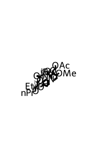 CCCO[C@@H](CC)[C@@H](Oc1ccccc1)[C@H](C)OC(=O)[C@@H](NC(=O)c1nccc(OC)c1OCOC(C)=O)[C@@H](C)CC